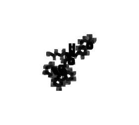 CCCCCN(NCc1ccc2c(c1)CCC(C)(C)O2)C(=O)CCOC(=O)N(c1ccccc1-c1ccccc1)N1CC[CH]CC1